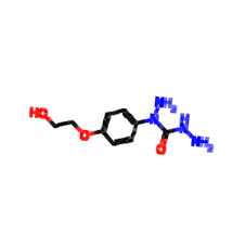 NNC(=O)N(N)c1ccc(OCCO)cc1